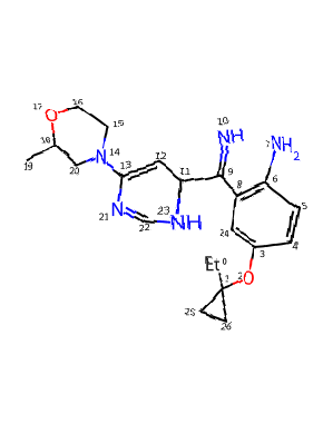 CCC1(Oc2ccc(N)c(C(=N)C3C=C(N4CCOC(C)C4)N=CN3)c2)CC1